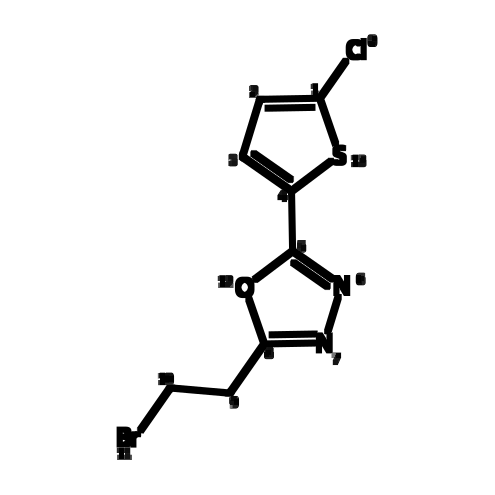 Clc1ccc(-c2nnc(CCBr)o2)s1